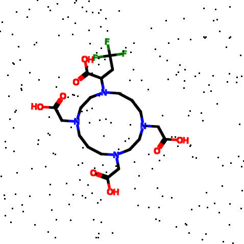 O=C(O)CN1CCCN(CC(=O)O)CCN(C(CC(F)(F)F)C(=O)O)CCCN(CC(=O)O)CC1